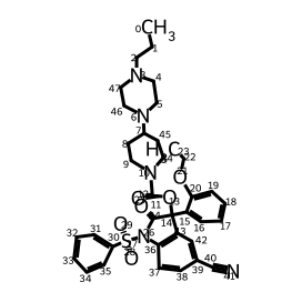 CCCN1CCN(C2CCN(C(=O)OC3(c4ccccc4OCC)C(=O)N(S(=O)(=O)c4ccccc4)c4ccc(C#N)cc43)CC2)CC1